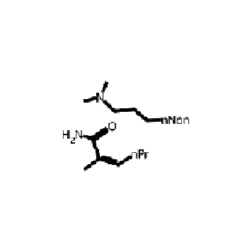 CCCC=C(C)C(N)=O.CCCCCCCCCCCCN(C)C